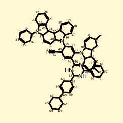 CC1=CC2C3CC(C)C=CC3N(C3=CC(N4C5C=CC=CC5C5C6C7=C(CCC=C7)N(C7C=CC=CC7)C6C=CC54)C(C#N)C=C3C3=NC(C4=CCCC=C4)NC(C4C=CC(C5CCCCC5)=CC4)N3)C2C=C1